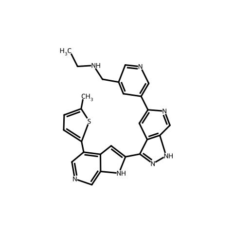 CCNCc1cncc(-c2cc3c(-c4cc5c(-c6ccc(C)s6)cncc5[nH]4)n[nH]c3cn2)c1